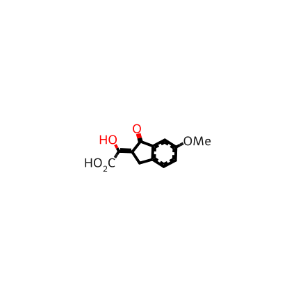 COc1ccc2c(c1)C(=O)C(=C(O)C(=O)O)C2